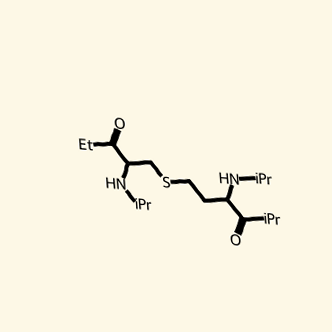 CCC(=O)C(CSCCC(NC(C)C)C(=O)C(C)C)NC(C)C